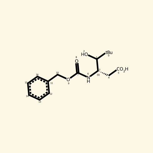 CC(C)(C)C(O)[C@H](CC(=O)O)NC(=O)OCc1ccccc1